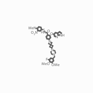 CNc1ccc(SNC(=O)c2ccc(N3CC4(CC(N5CCN(Cc6cc(F)c(OC)c(OC)c6)CC5)C4)C3)cc2Oc2cnc3[nH]ccc3c2)cc1[N+](=O)[O-]